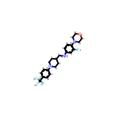 Fc1cc(NCC2CCN(c3ccc(C(F)(F)F)cc3)CC2)ccc1N1CCOCC1